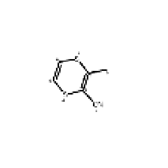 CC1=C(C#N)SC=CS1